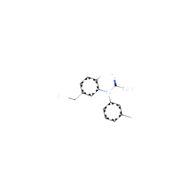 CCc1ccc(Cl)c(N(C(=N)N)c2cccc(I)c2)c1